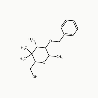 CC1OC(CO)C(C)(C)[C@H](C)C1OCc1ccccc1